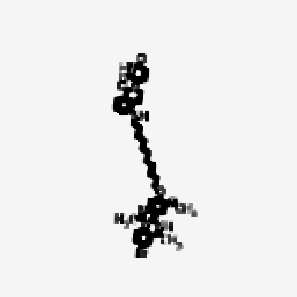 COc1cc2c(NC(C)c3cccc(Br)c3)nc(C)nc2cc1OCCCCCCCCCCCNc1cccc2c1CCN(C1CCC(=O)NC1=O)C2=O